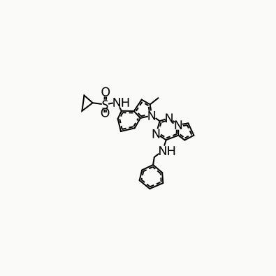 Cc1cc2c(NS(=O)(=O)C3CC3)cccc2n1-c1nc(NCc2ccccc2)c2cccn2n1